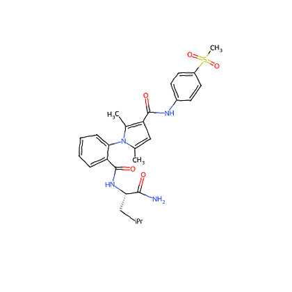 Cc1cc(C(=O)Nc2ccc(S(C)(=O)=O)cc2)c(C)n1-c1ccccc1C(=O)N[C@@H](CC(C)C)C(N)=O